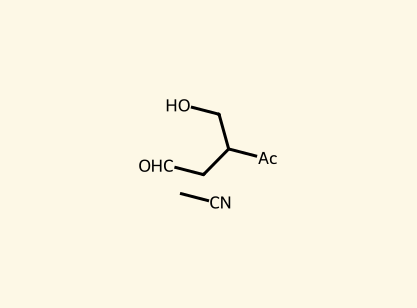 CC#N.CC(=O)C(CO)CC=O